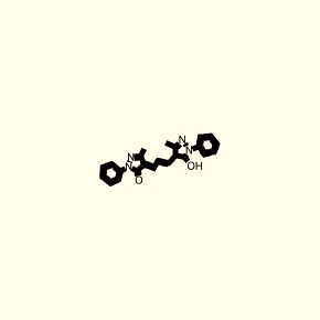 CC1=NN(c2ccccc2)C(=O)/C1=C/C=C/C1C(C)=NN(c2ccccc2)C1O